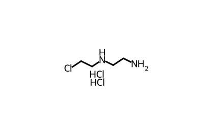 Cl.Cl.NCCNCCCl